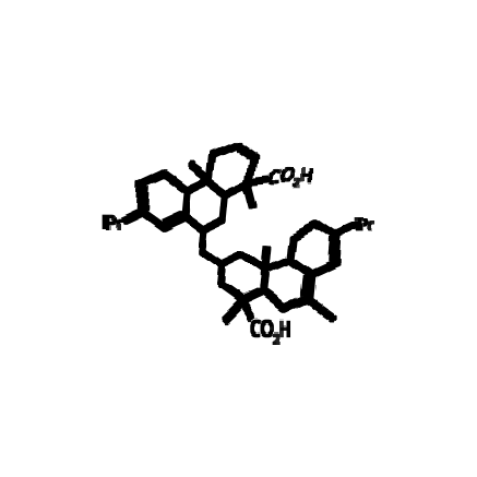 CC1=C2C=C(C(C)C)CCC2C2(C)CC(CC3CC4C(C)(C(=O)O)CCCC4(C)C4CC=C(C(C)C)C=C34)CC(C)(C(=O)O)C2C1